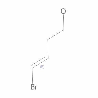 [O]CC/C=C/Br